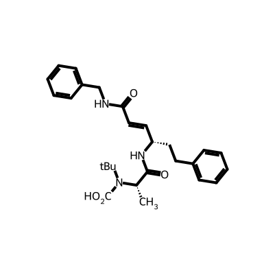 C[C@@H](C(=O)N[C@H](C=CC(=O)NCc1ccccc1)CCc1ccccc1)N(C(=O)O)C(C)(C)C